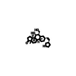 C[C@]12CC[C@@H](/C=C\[C@@H]3CCNC3)CC1[C@@H](CO)[C@@H](O)[C@@H]1[C@@H]2CC[C@]2(C)C(=O)CC[C@@H]12